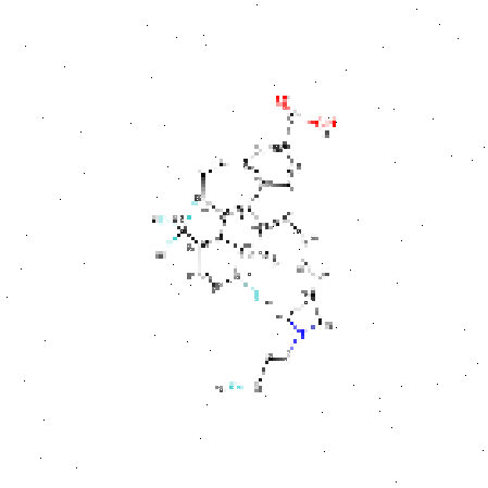 O=C(O)c1ccc2c(c1)CCCC(c1cc(F)ccc1C(F)(F)F)=C2c1ccc(CC2CN(CCCF)C2)cc1